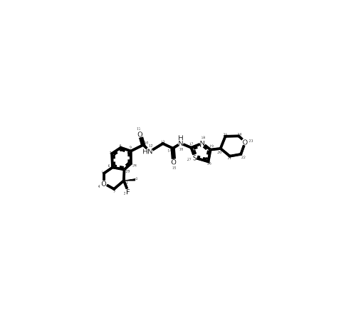 C[C@@]1(F)COCc2ccc(C(=O)NCC(=O)Nc3nc(C4CCOCC4)cs3)cc21